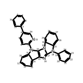 c1ccc(-c2ccc(-n3c4ccccc4c4nc5n(-c6ccccc6)c6ccccc6n5c43)nc2)cc1